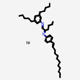 CCCCCCCCCC/C=C/c1ccc(/N=C(/C=N/c2cc(CCCCC)cc(CCCCC)c2)CCCC)cc1.[Ni]